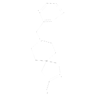 BrC1=NOC2(CCN(Cc3ccccn3)CC2)C1